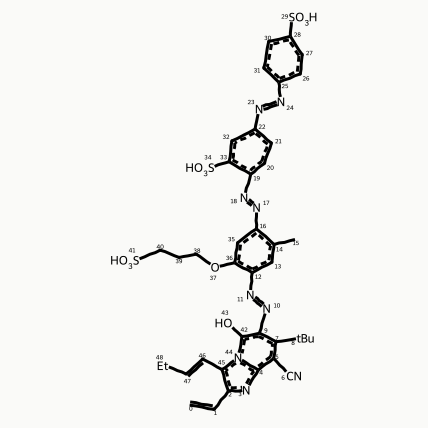 C=Cc1nc2c(C#N)c(C(C)(C)C)c(N=Nc3cc(C)c(N=Nc4ccc(N=Nc5ccc(S(=O)(=O)O)cc5)cc4S(=O)(=O)O)cc3OCCCS(=O)(=O)O)c(O)n2c1C=CCC